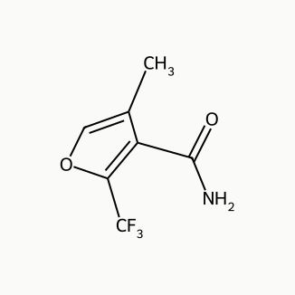 Cc1coc(C(F)(F)F)c1C(N)=O